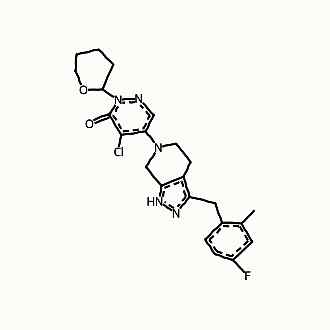 Cc1cc(F)ccc1Cc1n[nH]c2c1CCN(c1cnn(C3CCCCO3)c(=O)c1Cl)C2